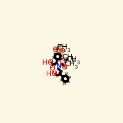 CC(C)(C)OC(=O)N(CC=C(CO)c1ccccc1)C(C(=O)O)c1ccc(S(C)(=O)=O)cc1